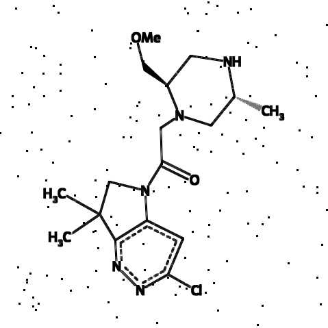 COC[C@H]1CN[C@H](C)CN1CC(=O)N1CC(C)(C)c2nnc(Cl)cc21